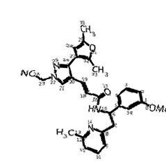 COc1cccc(C(Cc2cccc(C)n2)NC(=O)C=Cc2cn(CC#N)nc2-c2cc(C)oc2C)c1